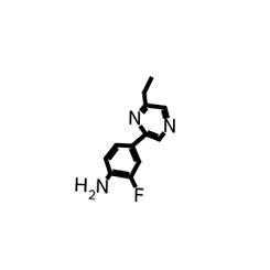 CCc1cncc(-c2ccc(N)c(F)c2)n1